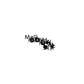 COc1cc(Nc2ncc(-c3cncs3)c(-c3cnc(N4CCC(F)(F)C4)s3)n2)ccc1N1CCN(C)CC1